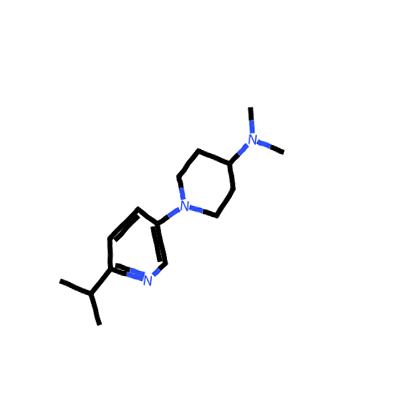 CC(C)c1ccc(N2CCC(N(C)C)CC2)cn1